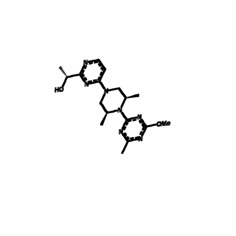 COc1nc(C)nc(N2[C@H](C)CN(c3ccnc([C@@H](C)O)n3)C[C@@H]2C)n1